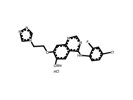 COc1cc2c(Nc3ccc(Cl)cc3F)ncnc2cc1OCCn1cnnc1.Cl